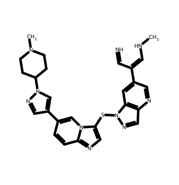 CN/C=C(\C=N)c1cnc2cnn(Sc3cnc4ccc(-c5cnn(C6CCN(C)CC6)c5)cn34)c2c1